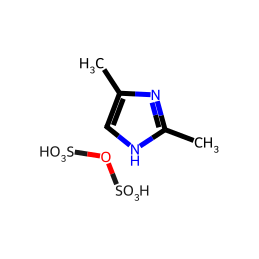 Cc1c[nH]c(C)n1.O=S(=O)(O)OS(=O)(=O)O